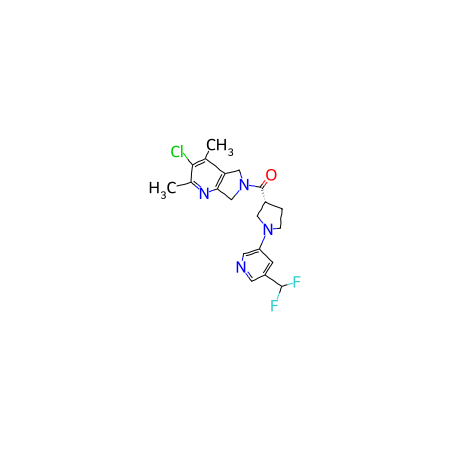 Cc1nc2c(c(C)c1Cl)CN(C(=O)[C@@H]1CCN(c3cncc(C(F)F)c3)C1)C2